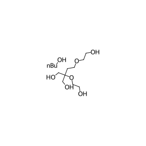 CCCCO.OCCOCCC(CO)(CO)OCCO